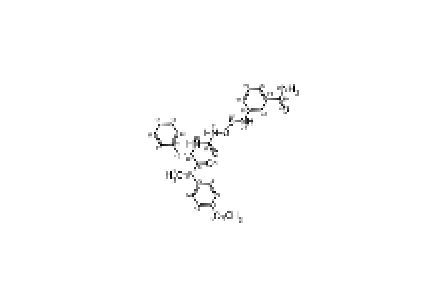 COc1ccc(N(C)C(=O)[C@H](Cc2ccccc2)NC(=O)NOSNc2cccc(C(N)=O)c2)cc1